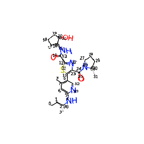 CC[C@@H](C)Nc1cc(C)c(-c2sc(C(=O)N[C@@H]3CCC[C@H]3O)nc2C(=O)N2CCC[C@@H]2C)cn1